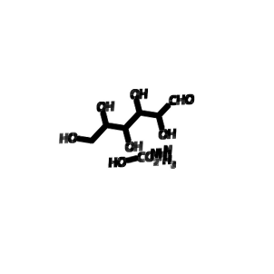 N.N.O=C(O)O.O=CC(O)C(O)C(O)C(O)CO